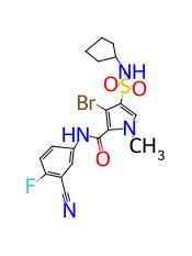 Cn1cc(S(=O)(=O)NC2CCCC2)c(Br)c1C(=O)Nc1ccc(F)c(C#N)c1